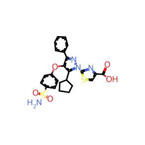 NS(=O)(=O)c1ccc(Oc2c(-c3ccccc3)nn(-c3nc(C(=O)O)cs3)c2C2CCCC2)cc1